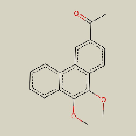 COc1c(OC)c2ccc(C(C)=O)cc2c2ccccc12